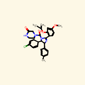 COc1ccc(C2=NC(c3ccc(C)cc3)C(C3C=CC(Cl)=CC3)N2C(O)N2CCNC(=O)C2)c(OC(C)C)c1